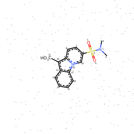 CN(C)S(=O)(=O)c1ccc2c(C(=O)O)c3ccccc3n2c1